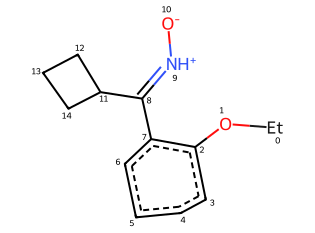 CCOc1ccccc1C(=[NH+][O-])C1CCC1